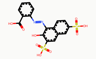 O=C(O)c1ccccc1/N=N/c1c(O)c(S(=O)(=O)O)cc2cc(S(=O)(=O)O)ccc12